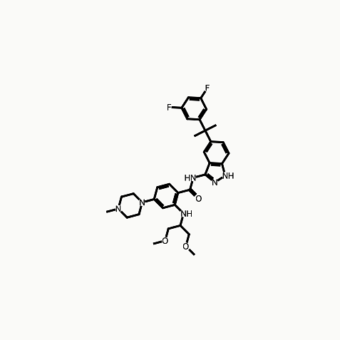 COCC(COC)Nc1cc(N2CCN(C)CC2)ccc1C(=O)Nc1n[nH]c2ccc(C(C)(C)c3cc(F)cc(F)c3)cc12